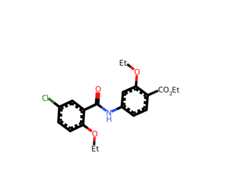 CCOC(=O)c1ccc(NC(=O)c2cc(Cl)ccc2OCC)cc1OCC